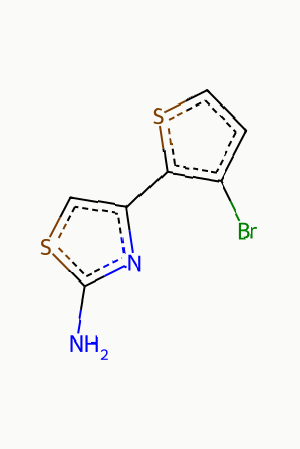 Nc1nc(-c2sccc2Br)cs1